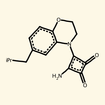 CC(C)Cc1ccc2c(c1)N(c1c(N)c(=O)c1=O)CCO2